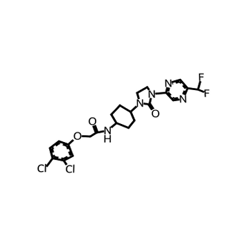 O=C(COc1ccc(Cl)c(Cl)c1)NC1CCC(N2CCN(c3cnc(C(F)F)cn3)C2=O)CC1